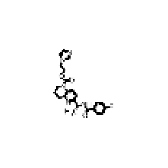 CC(NC(=O)c1ccc(F)cc1)c1ccc2c(n1)CCCN2C(=O)OCCn1ccnc1